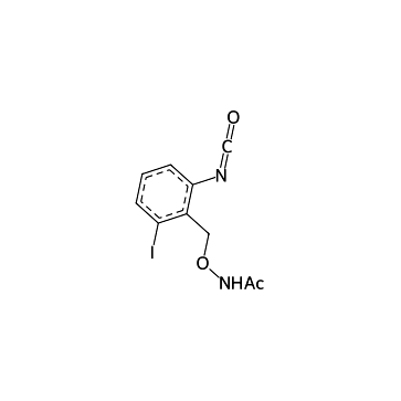 CC(=O)NOCc1c(I)cccc1N=C=O